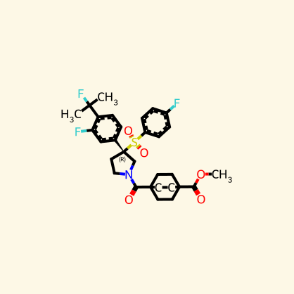 COC(=O)C12CCC(C(=O)N3CC[C@](c4ccc(C(C)(C)F)c(F)c4)(S(=O)(=O)c4ccc(F)cc4)C3)(CC1)CC2